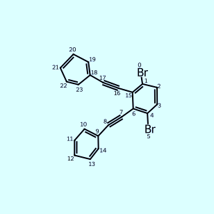 Brc1ccc(Br)c(C#Cc2ccccc2)c1C#Cc1ccccc1